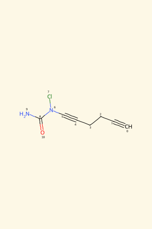 C#CCCC#CN(Cl)C(N)=O